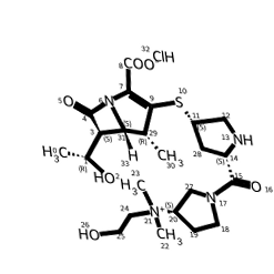 C[C@@H](O)[C@H]1C(=O)N2C(C(=O)[O-])=C(S[C@@H]3CN[C@H](C(=O)N4CC[C@H]([N+](C)(C)CCO)C4)C3)[C@H](C)[C@H]12.Cl